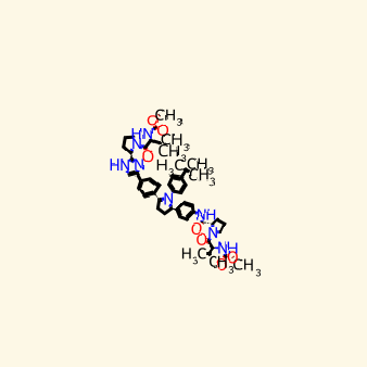 COC(=O)N[C@H](C(=O)N1CCC[C@H]1C(=O)Nc1ccc([C@H]2CC[C@H](c3ccc(-c4c[nH]c([C@@H]5CCCN5C(=O)[C@@H](NC(=O)OC)C(C)C)n4)cc3)N2c2ccc(C(C)(C)C)cc2)cc1)C(C)C